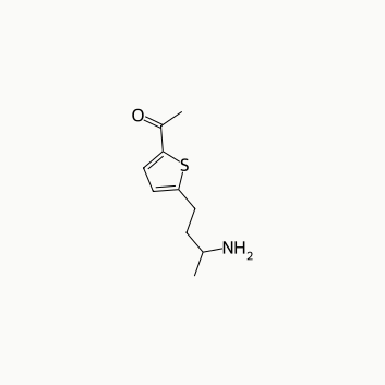 CC(=O)c1ccc(CCC(C)N)s1